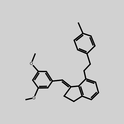 COc1cc(/C=C2\CCc3cccc(CCc4ccc(C)cc4)c32)cc(OC)c1